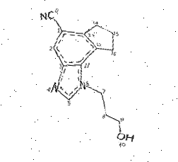 N#Cc1cc2ncn(CCCO)c2c2c1CCC2